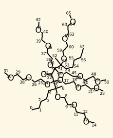 CCCCCC(C)(OCCOCCOC)C(OCCOCCOC)(OCCOCCOC)C(=O)C(OCCOCCOC)(OCCOCCOC)C(C)(CCCCC)OCCOCCOC